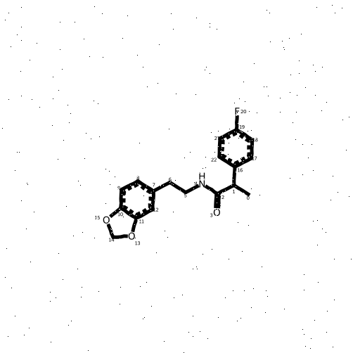 CC(C(=O)NCCc1ccc2c(c1)OCO2)c1ccc(F)cc1